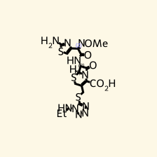 CCNn1nnnc1SCC1=C(C(=O)O)N2C(=O)[C@@H](NC(=O)/C(=N\OC)c3csc(N)n3)[C@@H]2SC1